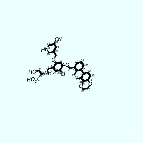 Cc1c(COc2cc(OCC3=CC(C#N)=CNC3)c(CN[C@@H](CO)C(=O)O)cc2Cl)cccc1-c1ccc2c(c1C)OCCO2